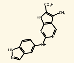 Cc1c(C(=O)O)[nH]c2nc(Nc3ccc4[nH]ncc4c3)ncc12